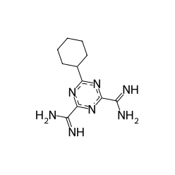 N=C(N)c1nc(C(=N)N)nc(C2CCCCC2)n1